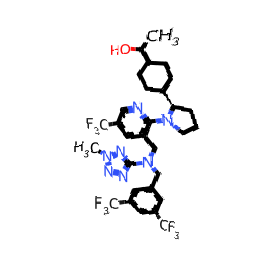 CC(O)C1CCC([C@H]2CCCN2c2ncc(C(F)(F)F)cc2CN(Cc2cc(C(F)(F)F)cc(C(F)(F)F)c2)c2nnn(C)n2)CC1